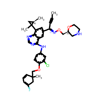 CC#C/C(=N\OC[C@@H]1CNCCO1)c1cc(C2(C)C[C@H]2C)c2ncnc(Nc3ccc(OCC4(C)C=CC=C(F)C4)c(Cl)c3)c2c1